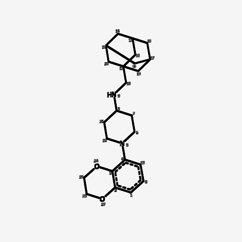 c1cc2c(c(N3CCC(NCC45CC6CC(CC(C6)C4)C5)CC3)c1)OCCO2